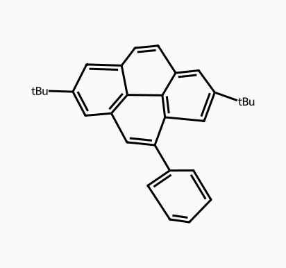 CC(C)(C)c1cc2ccc3cc(C(C)(C)C)cc4c(-c5ccccc5)cc(c1)c2c34